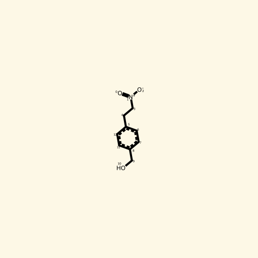 O=[N+]([O-])CCc1ccc(CO)cc1